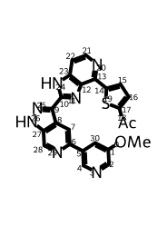 COc1cncc(-c2cc3c(-c4nc5c(-c6ccc(C(C)=O)s6)nccc5[nH]4)n[nH]c3cn2)c1